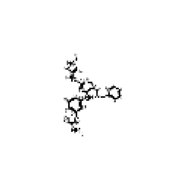 CC(=O)N(Cc1ccccc1)Cc1cnc(Nc2cnn(C)c2)nc1Nc1cccc(OC(N)=O)c1